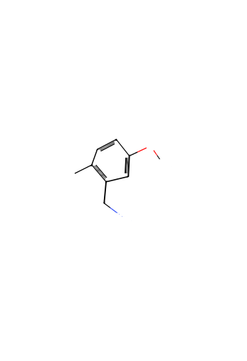 Cc1ccc(OC(F)(F)F)cc1CN